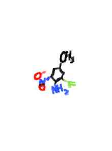 Cc1cc(F)c(N)c([N+](=O)[O-])c1